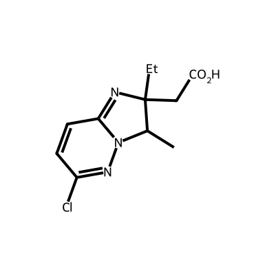 CCC1(CC(=O)O)N=C2C=CC(Cl)=NN2C1C